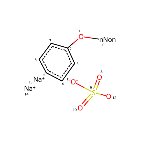 CCCCCCCCCOc1ccccc1.O=S(=O)([O-])[O-].[Na+].[Na+]